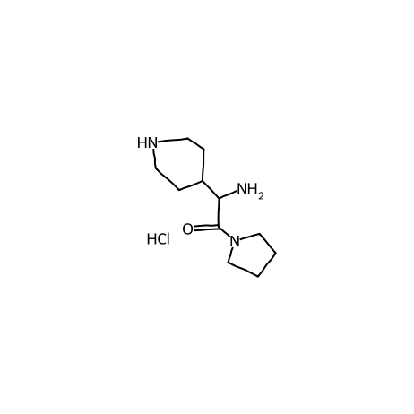 Cl.NC(C(=O)N1CCCC1)C1CCNCC1